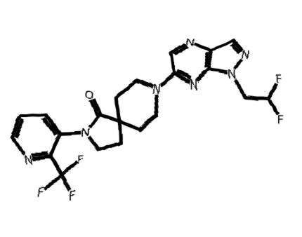 O=C1N(c2cccnc2C(F)(F)F)CCC12CCN(c1cnc3cnn(CC(F)F)c3n1)CC2